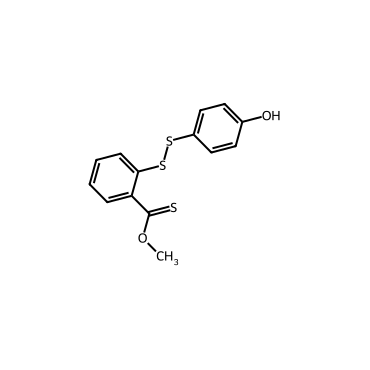 COC(=S)c1ccccc1SSc1ccc(O)cc1